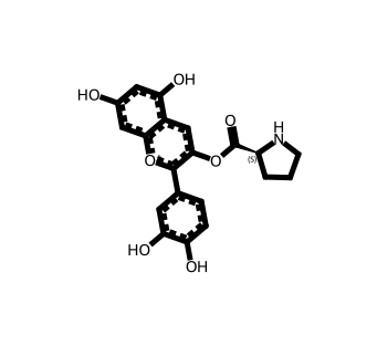 O=C(Oc1cc2c(O)cc(O)cc2[o+]c1-c1ccc(O)c(O)c1)[C@@H]1CCCN1